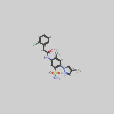 NS(=O)(=O)c1cc(NC(=O)Cc2ccccc2Cl)c(C(F)(F)F)cc1-n1cc(C(F)(F)F)cn1